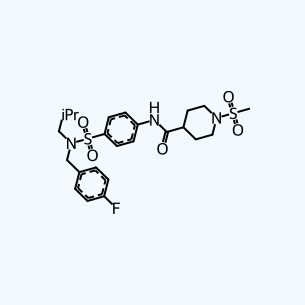 CC(C)CN(Cc1ccc(F)cc1)S(=O)(=O)c1ccc(NC(=O)C2CCN(S(C)(=O)=O)CC2)cc1